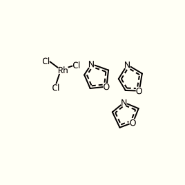 [Cl][Rh]([Cl])[Cl].c1cocn1.c1cocn1.c1cocn1